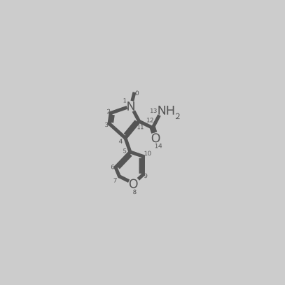 Cn1ccc(C2=CCOC=C2)c1C(N)=O